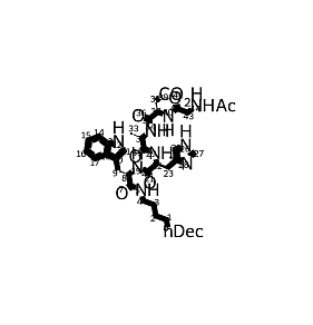 CCCCCCCCCCCCCCNC(=O)[C@H](Cc1c[nH]c2ccccc12)NC(=O)[C@H](Cc1c[nH]cn1)NC(=O)[C@H](C)NC(=O)[C@H](CC(=O)O)NC(=O)CNC(C)=O